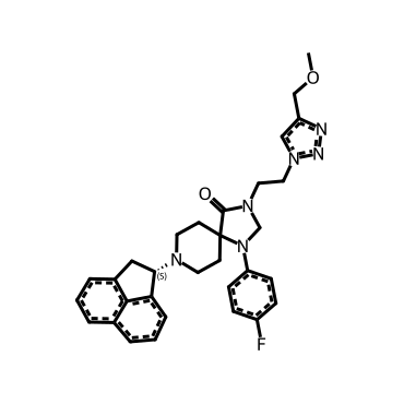 COCc1cn(CCN2CN(c3ccc(F)cc3)C3(CCN([C@H]4Cc5cccc6cccc4c56)CC3)C2=O)nn1